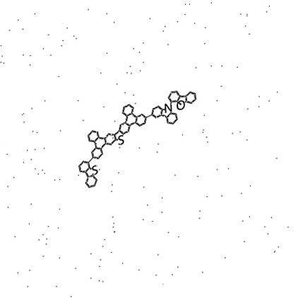 c1ccc2c(c1)oc1c(-n3c4ccccc4c4cc(-c5ccc6c(c5)c5ccccc5c5cc7c(cc65)sc5cc6c8ccc(-c9cccc%10c9sc9ccccc9%10)cc8c8ccccc8c6cc57)ccc43)cccc12